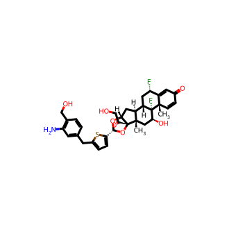 C[C@]12C=CC(=O)C=C1[C@@H](F)C[C@H]1[C@@H]3C[C@H]4O[C@@H](c5ccc(Cc6ccc(CO)c(N)c6)s5)O[C@@]4(C(=O)CO)[C@@]3(C)C[C@H](O)[C@@]12F